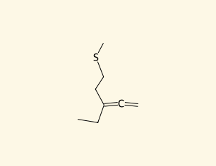 C=C=C(CC)CCSC